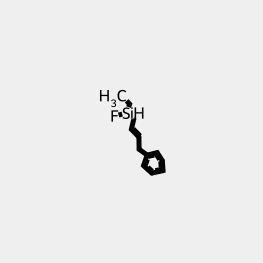 CC[SiH](F)CC=CCc1ccccc1